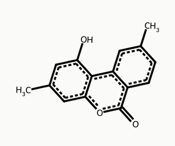 Cc1cc(O)c2c(c1)oc(=O)c1ccc(C)cc12